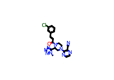 Cn1nnnc1C1CN(c2nccnc2C#N)CCN1C(=O)C=Cc1cccc(Cl)c1